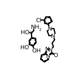 NC[C@H](O)c1ccc(O)c(O)c1.O=c1n(CCCN2CCN(c3cccc(Cl)c3)CC2)nc2ccccn12